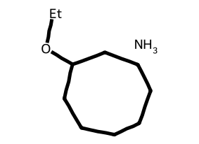 CCOC1CCCCCCC1.N